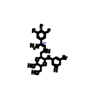 N/C(=C\NCC1OC(O)C(CO)OC1SC1=CNCC(Br)=C1)c1cc(F)c(F)c(F)c1